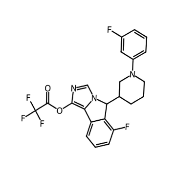 O=C(Oc1ncn2c1-c1cccc(F)c1C2C1CCCN(c2cccc(F)c2)C1)C(F)(F)F